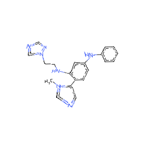 Cn1cncc1-c1ccc(Nc2ccccc2)cc1NCCn1cncn1